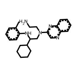 Cc1ccccc1NC(CN(CCN)c1cnc2ccccc2n1)C1CCCCC1